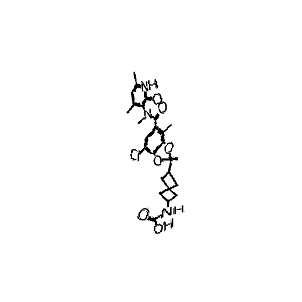 Cc1cc(C)c(N(C)C(=O)c2cc(Cl)c3c(c2C)OC(C)(C2CC4(CC(NC(=O)O)C4)C2)O3)c(=O)[nH]1